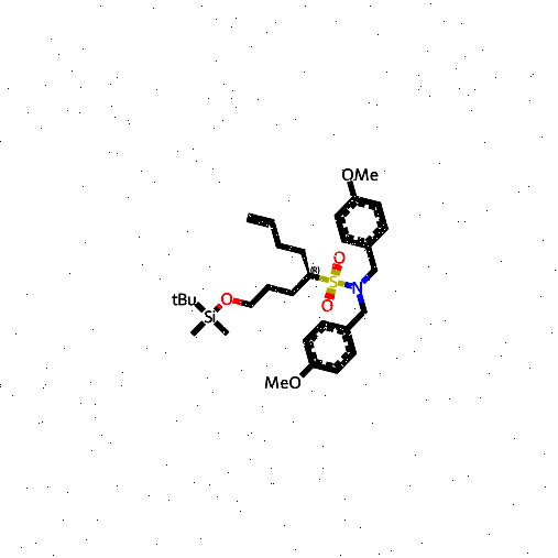 C=CCC[C@H](CCCO[Si](C)(C)C(C)(C)C)S(=O)(=O)N(Cc1ccc(OC)cc1)Cc1ccc(OC)cc1